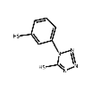 Sc1cccc(-n2nnnc2S)c1